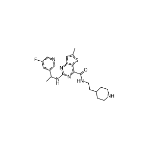 Cc1cc2nc(NC(C)c3cncc(F)c3)nc(C(=O)NCCC3CCNCC3)c2s1